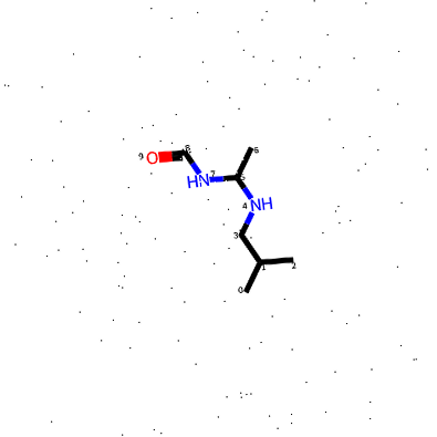 CC(C)CNC(C)N[C]=O